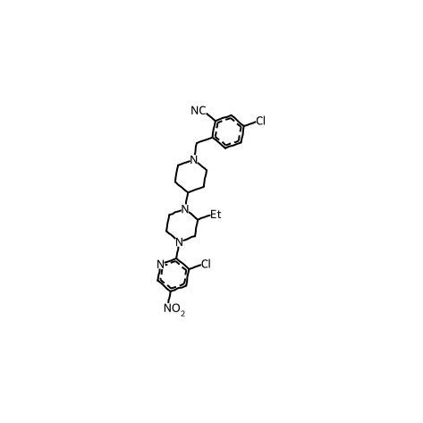 CCC1CN(c2ncc([N+](=O)[O-])cc2Cl)CCN1C1CCN(Cc2ccc(Cl)cc2C#N)CC1